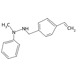 C=Cc1ccc(CNN(C)c2ccccc2)cc1